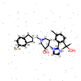 Cc1ccc(C(C)(C)O)c(-c2nccn2[C@@H]2CCN(C[C@H]3Cc4ccc(Br)cc4C3)C[C@H]2O)c1